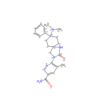 Cc1cc(C(N)=O)cnc1N1CC2(CCC(c3ccccc3)(N(C)C)CC2)NC1=O